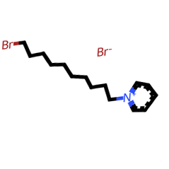 BrCCCCCCCCCC[n+]1ccccc1.[Br-]